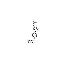 COC(C)(C)CN1CCC(n2cc(CC(C)C)cn2)CC1